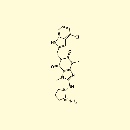 Cn1c(N[C@H]2CCC[C@H]2N)nc2c1c(=O)n(Cc1cc3c(Cl)cccc3[nH]1)c(=O)n2C